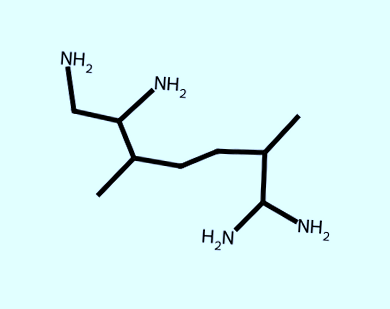 CC(CCC(C)C(N)CN)C(N)N